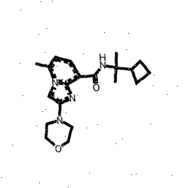 Cc1ccc(C(=O)NC(C)(C)C2CCC2)c2nc(N3CCOCC3)cn12